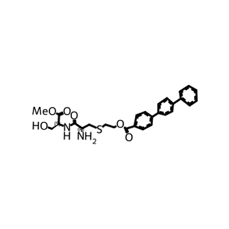 COC(=O)[C@H](CO)NC(=O)[C@@H](N)CSCCOC(=O)c1ccc(-c2ccc(-c3ccccc3)cc2)cc1